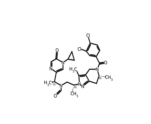 Cc1c2c(nn1[C@H](C)CN(C=O)[C@@H](C)c1cn(C3CC3)c(=O)cn1)C[C@@H](C)N(C(=O)c1ccc(Cl)c(Cl)c1)C2